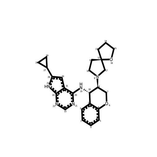 c1ccc2c(c1)OC[C@H](N1CC[C@]3(CCCO3)C1)[C@H]2Nc1ncnc2[nH]c(C3CC3)cc12